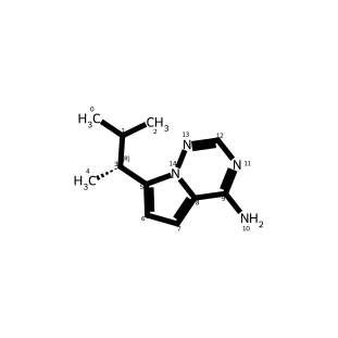 CC(C)[C@@H](C)c1ccc2c(N)ncnn12